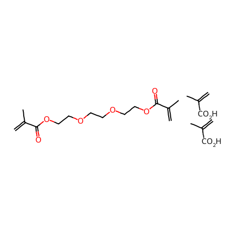 C=C(C)C(=O)O.C=C(C)C(=O)O.C=C(C)C(=O)OCCOCCOCCOC(=O)C(=C)C